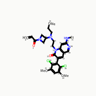 C=CC(=O)N1CC(N(CCOC)CCn2c(=O)c(-c3c(Cl)c(OC)cc(OC)c3Cl)cc3cnc(NCC)cc32)C1